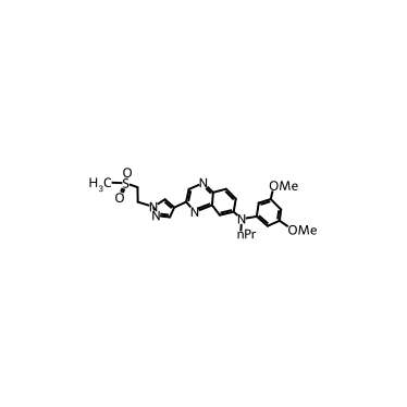 CCCN(c1cc(OC)cc(OC)c1)c1ccc2ncc(-c3cnn(CCS(C)(=O)=O)c3)nc2c1